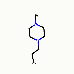 CC(=O)CCN1CCN(C(C)C)CC1